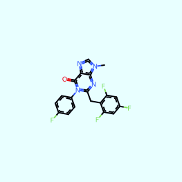 Cn1cnc2c(=O)n(-c3ccc(F)cc3)c(Cc3c(F)cc(F)cc3F)nc21